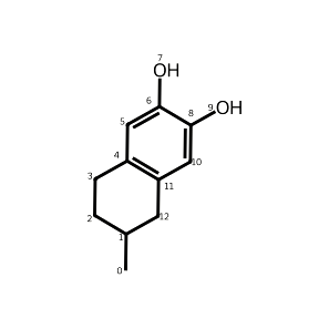 CC1CCc2cc(O)c(O)cc2C1